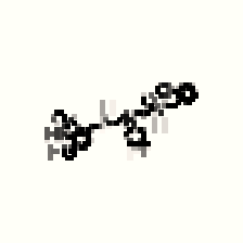 O=C(CCN(CCNCCc1ccc(O)c2[nH]c(=O)sc12)C1CCC(F)(F)CC1)NCCc1ccccc1Cl